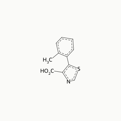 Cc1ccccc1-c1scnc1C(=O)O